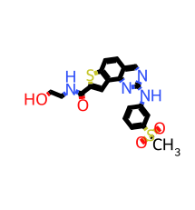 CS(=O)(=O)c1cccc(Nc2ncc3ccc4sc(C(=O)NCCO)cc4c3n2)c1